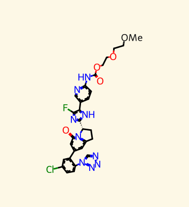 COCCOCCOC(=O)Nc1ccc(-c2[nH]c([C@@H]3CCc4cc(-c5cc(Cl)ccc5-n5cnnn5)cc(=O)n43)nc2F)cn1